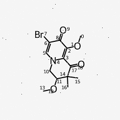 COc1c2n(cc(Br)c1=O)CC(OC)C(C)(C)C2=O